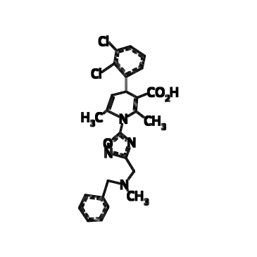 CC1=CC(c2cccc(Cl)c2Cl)C(C(=O)O)=C(C)N1c1nc(CN(C)Cc2ccccc2)no1